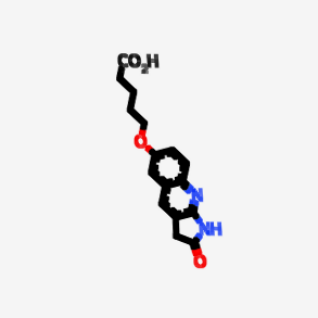 O=C(O)CCCCOc1ccc2nc3c(cc2c1)CC(=O)N3